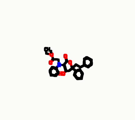 CCOC(=O)CN(C1=C(O)CC(CCc2ccccc2)(c2ccccc2)OC1=O)c1ccccc1